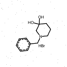 Br.OC1(O)CCCN(Cc2ccccc2)C1